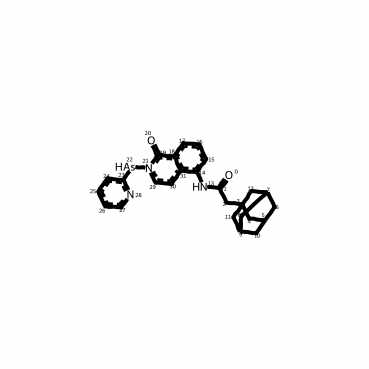 O=C(CC12CC3CC(CC(C3)C1)C2)Nc1cccc2c(=O)n([AsH]c3ccccn3)ccc12